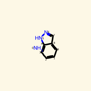 N.c1ccc2[nH]ncc2c1